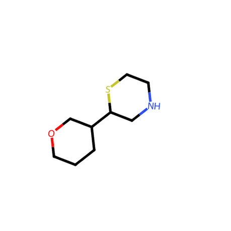 C1COCC(C2CNCCS2)C1